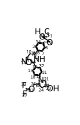 CCS(=O)(=O)c1ccc([C@H](CC#N)NC(=O)c2ccc(N3C[C@H](O)C[C@H]3COC(F)F)cc2)cc1